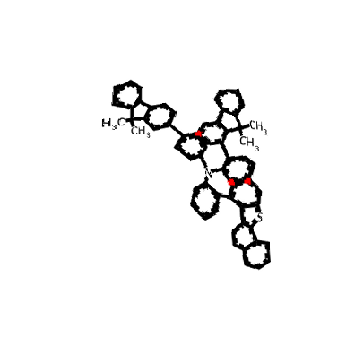 CC1(C)c2ccccc2-c2ccc(-c3ccc(N(c4ccccc4-c4cccc5c4C(C)(C)c4ccccc4-5)c4ccccc4-c4cccc5sc6c7ccccc7ccc6c45)cc3)cc21